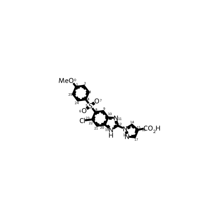 COc1ccc(S(=O)(=O)c2cc3nc(-n4cc(C(=O)O)cn4)[nH]c3cc2Cl)cc1